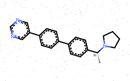 C[C@H](c1ccc(-c2ccc(-c3cncnc3)cc2)cc1)N1CCCC1